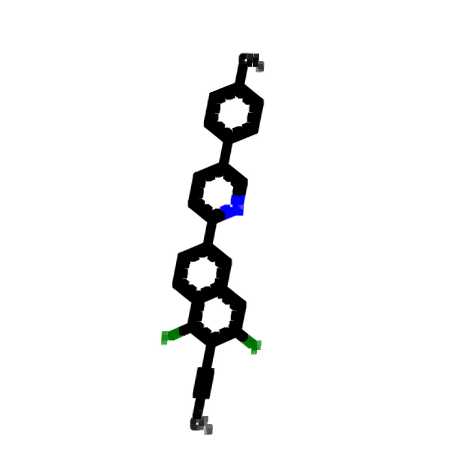 Cc1ccc(-c2ccc(-c3ccc4c(F)c(C#CC(F)(F)F)c(F)cc4c3)nc2)cc1